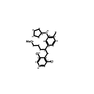 COCCCC(Cc1c(Cl)cncc1Cl)c1ccc(C)c(OC2CCCC2)c1